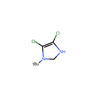 CC(C)(C)N1CNC(Cl)=C1Cl